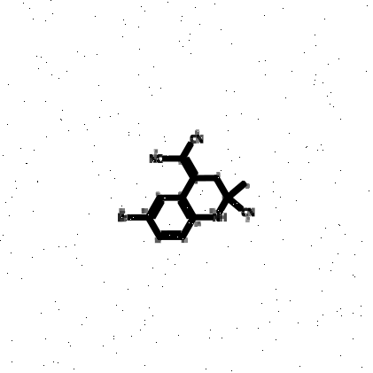 CC1(C#N)CC(=C(C#N)C#N)c2cc(Br)ccc2N1